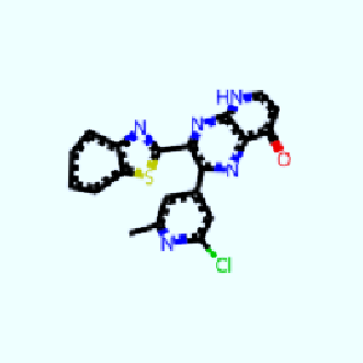 Cc1cc(-c2nc3c(=O)cc[nH]c3nc2-c2nc3ccccc3s2)cc(Cl)n1